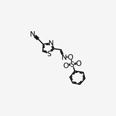 N#Cc1csc(C=NOS(=O)(=O)c2ccccc2)n1